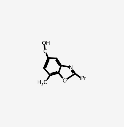 Cc1cc(CO)cc2nc(C(C)C)oc12